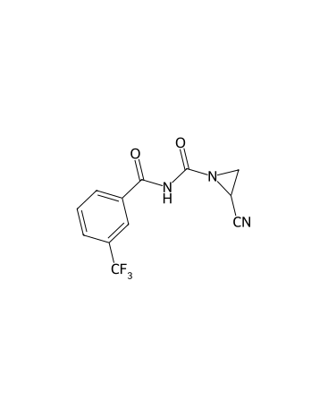 N#CC1CN1C(=O)NC(=O)c1cccc(C(F)(F)F)c1